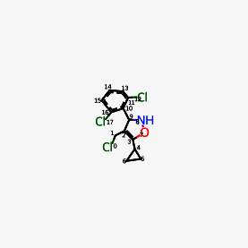 ClCC1=C(C2CC2)ONC1c1c(Cl)cccc1Cl